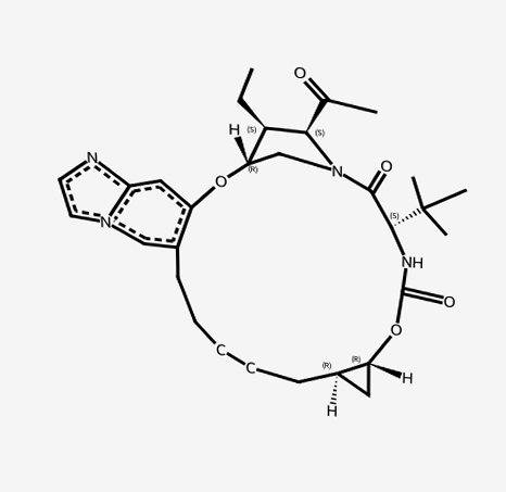 CC[C@@H]1[C@@H]2CN(C(=O)[C@H](C(C)(C)C)NC(=O)O[C@@H]3C[C@H]3CCCCCc3cn4ccnc4cc3O2)[C@@H]1C(C)=O